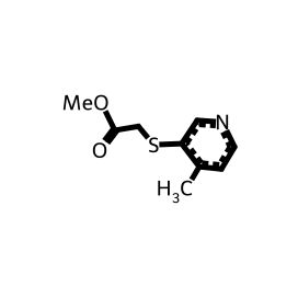 COC(=O)CSc1cnccc1C